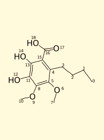 CCCCc1c(OC)c(OC)c(O)c(O)c1C(=O)O